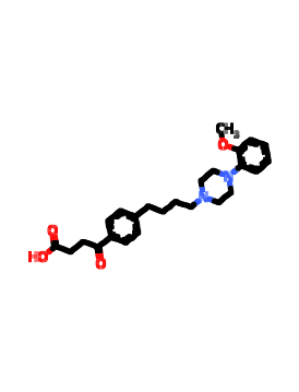 COc1ccccc1N1CCN(CCCCc2ccc(C(=O)CCC(=O)O)cc2)CC1